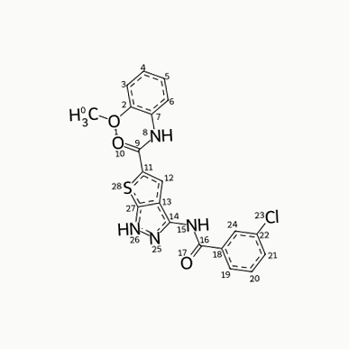 COc1ccccc1NC(=O)c1cc2c(NC(=O)c3cccc(Cl)c3)n[nH]c2s1